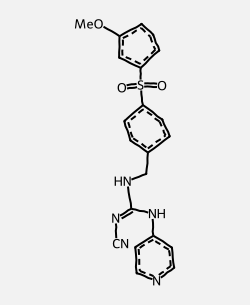 COc1cccc(S(=O)(=O)c2ccc(CNC(=NC#N)Nc3ccncc3)cc2)c1